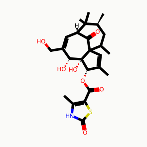 CC1=CC23C(=O)[C@@H](C=C(CO)[C@@H](O)[C@]2(O)[C@H]1OC(=O)c1sc(=O)[nH]c1C)C(C)(C)[C@@H](C)CC3C